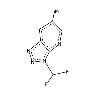 CC(C)c1cnc2c(c1)nnn2C(F)F